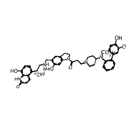 COc1cc2c(cc1CNC[C@H](O)c1ccc(O)c3[nH]c(=O)ccc13)CCN2C(=O)CCN1CCC(N(C(=O)O)c2ccccc2-c2ccc(O)c(Cl)c2)CC1